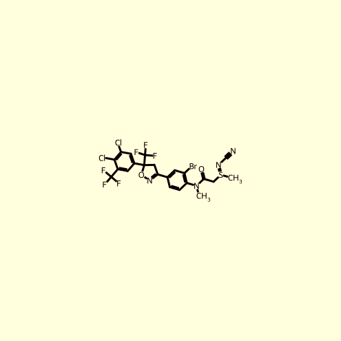 CN(C(=O)CS(C)=NC#N)c1ccc(C2=NOC(c3cc(Cl)c(Cl)c(C(F)(F)F)c3)(C(F)(F)F)C2)cc1Br